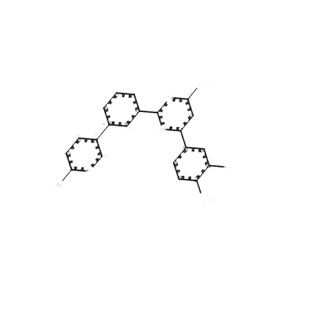 Cc1cc(-c2ccc(C(F)(F)F)c(C)c2)nc(-c2cccc(-c3ccc(N)nc3)c2)n1